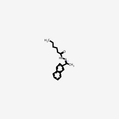 CCCCCC(=O)N/N=C(/C)c1ccc2ccccc2c1